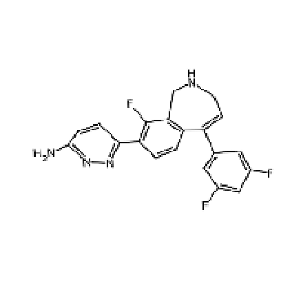 Nc1ccc(-c2ccc3c(c2F)CNCC=C3c2cc(F)cc(F)c2)nn1